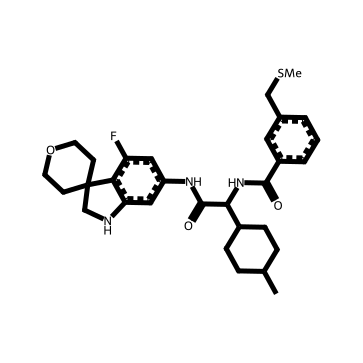 CSCc1cccc(C(=O)NC(C(=O)Nc2cc(F)c3c(c2)NCC32CCOCC2)C2CCC(C)CC2)c1